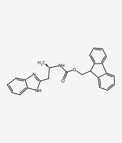 C[C@H](Cc1nc2ccccc2[nH]1)NC(=O)OCC1c2ccccc2-c2ccccc21